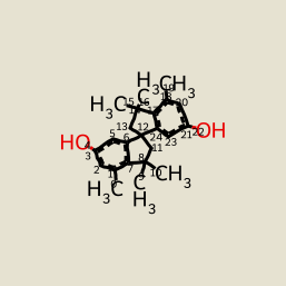 Cc1cc(O)cc2c1C(C)(C)CC21CC(C)(C)c2c(C)cc(O)cc21